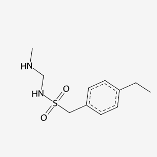 CCc1ccc(CS(=O)(=O)NCNC)cc1